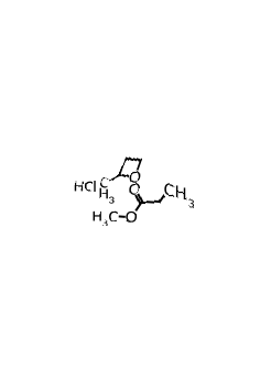 CC1CCO1.CCC(=O)OC.Cl